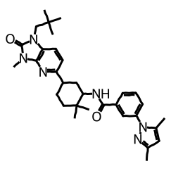 Cc1cc(C)n(-c2cccc(C(=O)NC3CC(c4ccc5c(n4)n(C)c(=O)n5CC(C)(C)C)CCC3(C)C)c2)n1